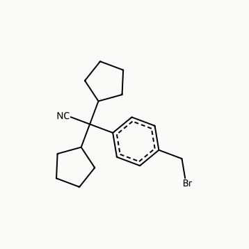 N#CC(c1ccc(CBr)cc1)(C1CCCC1)C1CCCC1